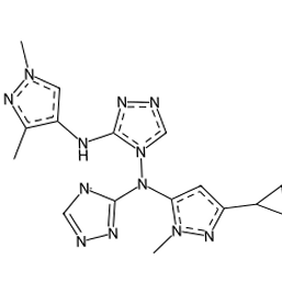 Cc1nn(C)cc1Nc1nncn1N(C1=NN=C[N]1)c1cc(C2CC2)nn1C